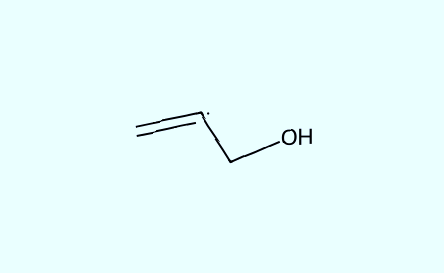 C=[C]CO